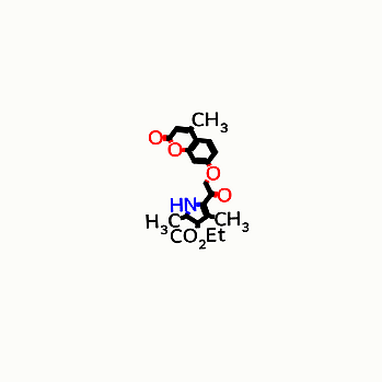 CCOC(=O)C1C(C)=C(C(=O)COc2ccc3c(C)cc(=O)oc3c2)NC1C